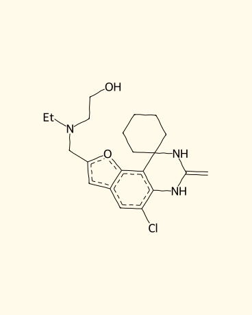 C=C1Nc2c(Cl)cc3cc(CN(CC)CCO)oc3c2C2(CCCCC2)N1